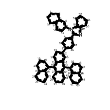 c1ccc2cc(-n3c(-c4ccc(-c5ccc6c(-c7cccc8ccccc78)c7ccccc7c(-c7cccc8ccccc78)c6c5)cc4)nc4ccccc43)ccc2c1